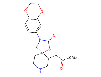 COC(=O)CC1CNCCC12CN(c1ccc3c(c1)OCCO3)C(=O)O2